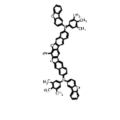 Cc1cc(N(c2ccc3cc4c(cc3c2)oc2c(C(C)C)c3oc5cc6cc(N(c7cc(C)c(C)c(C)c7)c7ccc8oc9ccccc9c8c7)ccc6cc5c3cc24)c2ccc3oc4ccccc4c3c2)cc(C)c1C